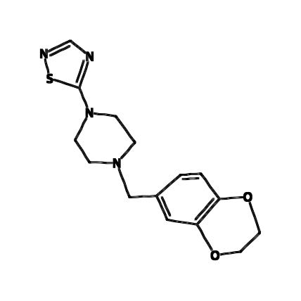 c1nsc(N2CCN(Cc3ccc4c(c3)OCCO4)CC2)n1